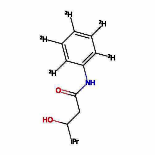 [2H]c1c([2H])c([2H])c(NC(=O)CC(O)C(C)C)c([2H])c1[2H]